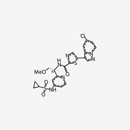 COC[C@H](NC(=O)c1ncc(-c2cnn3ccc(Cl)cc23)s1)c1cc(NS(=O)(=O)C2CC2)ccn1